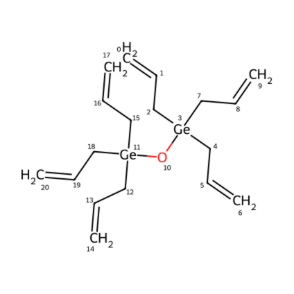 C=C[CH2][Ge]([CH2]C=C)([CH2]C=C)[O][Ge]([CH2]C=C)([CH2]C=C)[CH2]C=C